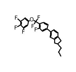 CCCC1Cc2ccc(-c3ccc(C(F)(F)Oc4cc(F)c(F)c(F)c4)c(F)c3)cc2C1